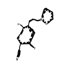 N#Cc1cc(Br)c(Cn2cccn2)cc1F